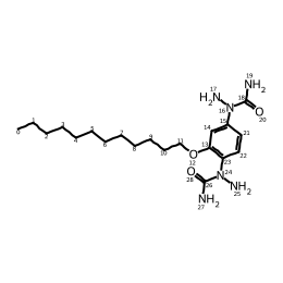 CCCCCCCCCCCCOc1cc(N(N)C(N)=O)ccc1N(N)C(N)=O